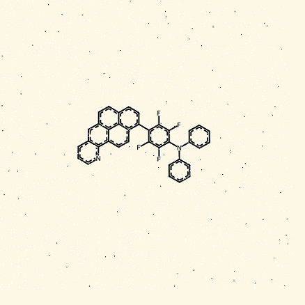 Fc1c(F)c(N(c2ccccc2)c2ccccc2)c(F)c(F)c1-c1ccc2ccc3cc4cccnc4c4ccc1c2c34